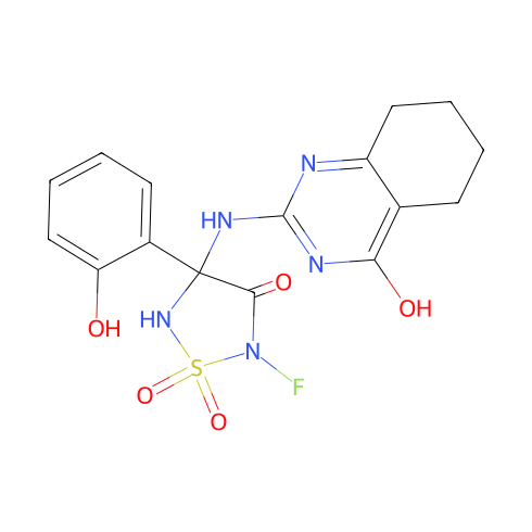 O=C1N(F)S(=O)(=O)NC1(Nc1nc(O)c2c(n1)CCCC2)c1ccccc1O